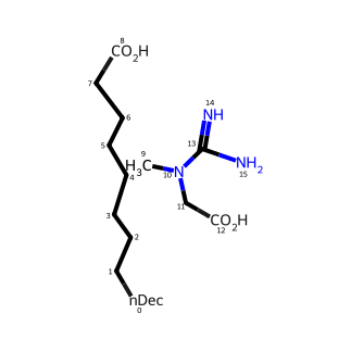 CCCCCCCCCCCCCCCCCC(=O)O.CN(CC(=O)O)C(=N)N